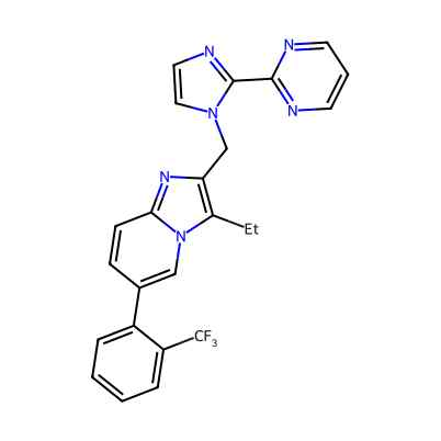 CCc1c(Cn2ccnc2-c2ncccn2)nc2ccc(-c3ccccc3C(F)(F)F)cn12